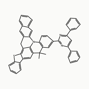 CC1(C)c2cc(-c3nc(-c4ccccc4)cc(-c4ccccc4)n3)ccc2N2c3cc4ccccc4cc3Cc3c2c1cc1c3sc2ccccc21